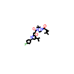 CC(C)c1cc(-c2ccc(F)cc2)nc2cc(C(=O)N3CCN(C(=O)C4CC4(C)C)CC3(C)C)oc12